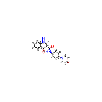 O=C(Nc1ccc(N2CCOCC2)cc1)c1c[nH]c2ccccc2c1=O